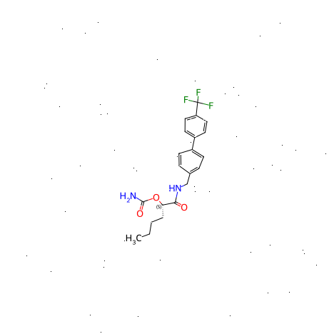 CCCC[C@H](OC(N)=O)C(=O)NCc1ccc(-c2ccc(C(F)(F)F)cc2)cc1